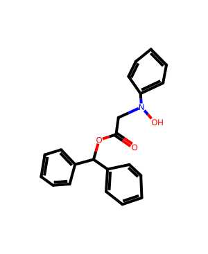 O=C(CN(O)c1ccccc1)OC(c1ccccc1)c1ccccc1